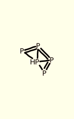 P1=P2=P3=P[PH]123